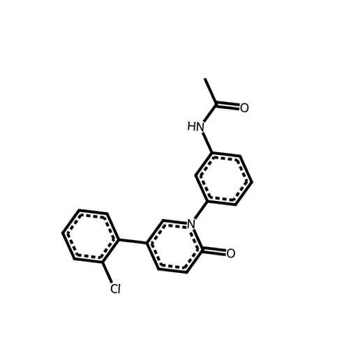 CC(=O)Nc1cccc(-n2cc(-c3ccccc3Cl)ccc2=O)c1